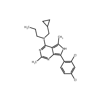 CCCN(CC1CC1)c1nc(C)nc2c(-c3ccc(Cl)cc3Cl)[nH]c(C)c12